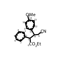 CCOC(=O)C(c1ccccc1)C(CC#N)c1ccc(OC)cc1